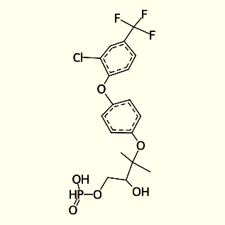 CC(C)(Oc1ccc(Oc2ccc(C(F)(F)F)cc2Cl)cc1)C(O)CO[PH](=O)O